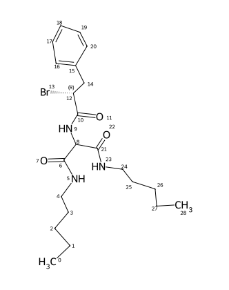 CCCCCNC(=O)C(NC(=O)[C@H](Br)Cc1ccccc1)C(=O)NCCCCC